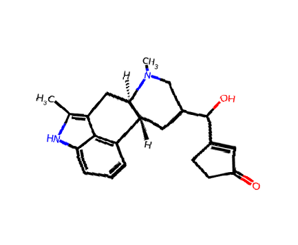 Cc1[nH]c2cccc3c2c1C[C@@H]1[C@@H]3CC(C(O)C2=CC(=O)CC2)CN1C